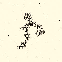 NC(=O)C(=O)N1CCc2c(c(-c3ccc(Cl)c(C#Cc4ccc(CNCc5ccc(Cl)cc5)cc4)c3)nn2CCCN2CCC(C(N)=O)CC2)C1